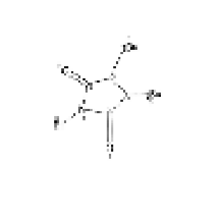 CCN1C(=O)C(C(C)(C)C)C(C(C)(C)C)C1=O